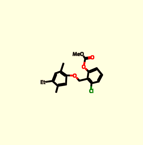 CCc1cc(C)c(OCc2c(Cl)cccc2OC(=O)OC)cc1C